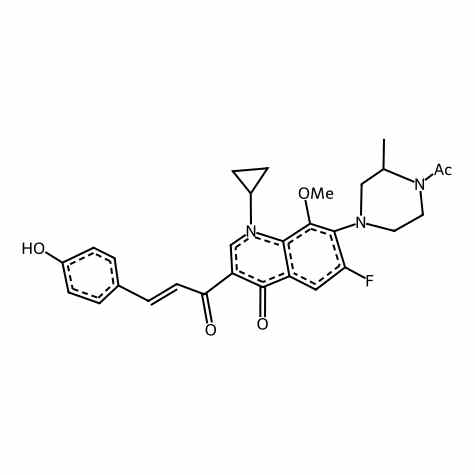 COc1c(N2CCN(C(C)=O)C(C)C2)c(F)cc2c(=O)c(C(=O)C=Cc3ccc(O)cc3)cn(C3CC3)c12